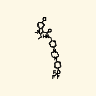 CCc1c(C(=O)NCc2ccc(N3CCN(c4ccc(OC(F)(F)F)cc4)CC3)cc2)c2cc(Cl)ccc2n1C